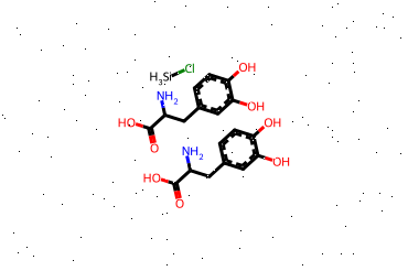 NC(Cc1ccc(O)c(O)c1)C(=O)O.NC(Cc1ccc(O)c(O)c1)C(=O)O.[SiH3]Cl